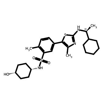 Cc1ccc(-c2sc(N[C@@H](C)C3CCCCC3)nc2C)cc1S(=O)(=O)N[C@H]1CC[C@@H](O)CC1